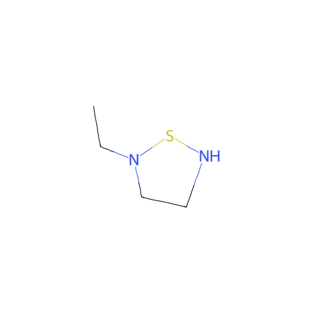 CCN1CCNS1